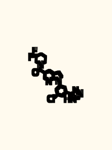 O=C(c1cnc2c(ccn2-c2cc(Cl)cc(-c3nnc[nH]3)c2)c1)N1CCCC(F)(F)C1